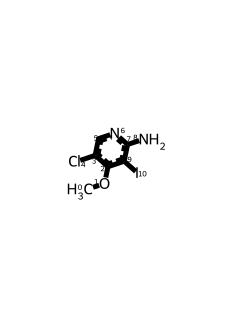 COc1c(Cl)cnc(N)c1I